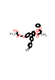 C=C(CC(=O)OC1CCCCC1)C(=O)Oc1ccc(C2CCC(OCCOC(=O)C(C)CO)CC2)c(C2CCC(C3CCC(CCC)CC3)CC2)c1